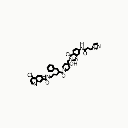 O=C(CCn1ccnc1)Nc1ccc2c(=O)n(CC3(O)CCN(C(=O)C(CCCNC(=O)c4ccc5c(Cl)ccnc5c4)Cc4ccccc4)CC3)cnc2c1